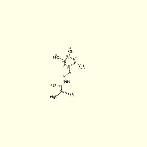 C=C(C)C(=O)NCCc1cc(O)c(O)cc1C